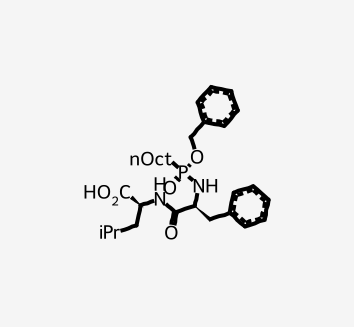 CCCCCCCCP(=O)(N[C@@H](Cc1ccccc1)C(=O)N[C@@H](CC(C)C)C(=O)O)OCc1ccccc1